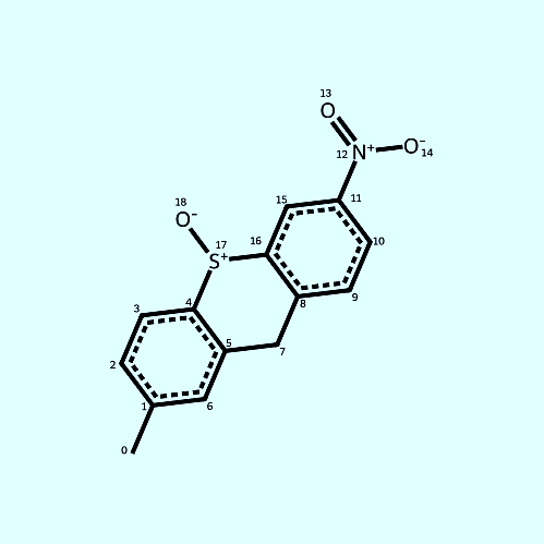 Cc1ccc2c(c1)Cc1ccc([N+](=O)[O-])cc1[S+]2[O-]